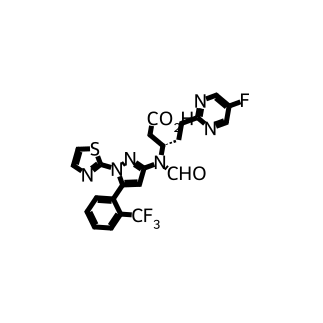 O=CN(c1cc(-c2ccccc2C(F)(F)F)n(-c2nccs2)n1)[C@@H](CCc1ncc(F)cn1)CC(=O)O